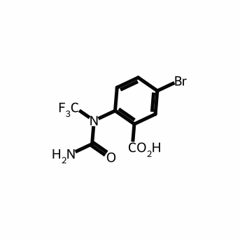 NC(=O)N(c1ccc(Br)cc1C(=O)O)C(F)(F)F